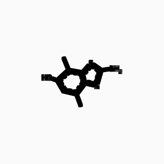 Cc1cc(O)c(C)c2sc(N)nc12